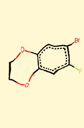 Fc1cc2c(cc1Br)OCCO2